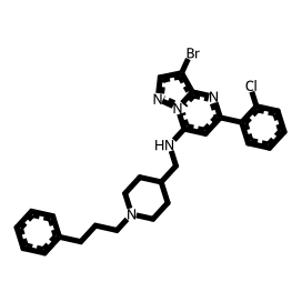 Clc1ccccc1-c1cc(NCC2CCN(CCCc3ccccc3)CC2)n2ncc(Br)c2n1